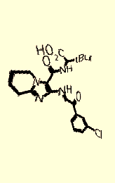 CC(C)(C)C(NC(=O)c1c(NCC(=O)c2cccc(Cl)c2)nc2n1CCCC2)C(=O)O